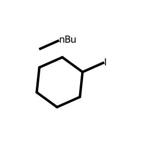 CCCCC.IC1CCCCC1